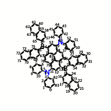 c1ccc(N(c2ccccc2)c2cc(B(c3ccc4ccccc4c3)c3ccc4ccccc4c3)c3ccc4c(N(c5ccccc5)c5ccccc5)cc(B(c5ccc6ccccc6c5)c5ccc6ccccc6c5)c5ccc2c3c54)cc1